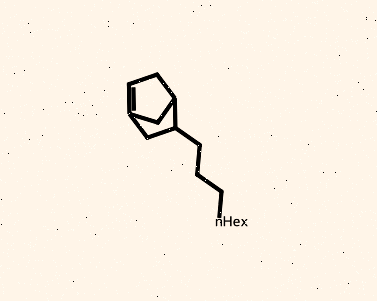 CCCCCCCCCC1CC2=CCC1C2